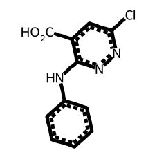 O=C(O)c1cc(Cl)nnc1Nc1ccccc1